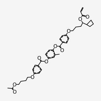 C=CC(=O)OC(CCCOc1ccc(C(=O)Oc2ccc(OC(=O)c3ccc(OCCCCOC(C)=O)cc3)cc2C)cc1)C1CCC1